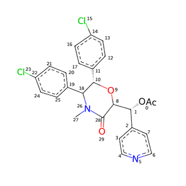 CC(=O)O[C@H](c1ccncc1)C1O[C@@H](c2ccc(Cl)cc2)C(c2ccc(Cl)cc2)N(C)C1=O